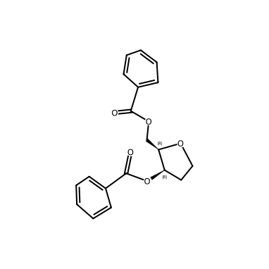 O=C(OC[C@H]1OCC[C@H]1OC(=O)c1ccccc1)c1ccccc1